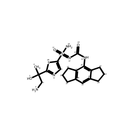 CC(O)(CN)c1ncc(S(N)(=O)=NC(=O)Nc2c3c(cc4c2CCC4)CCC3)s1